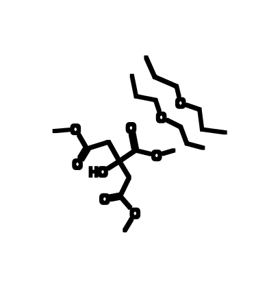 CCCOCCC.CCCOCCC.COC(=O)CC(O)(CC(=O)OC)C(=O)OC